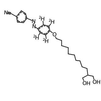 [2H]c1c([2H])c(OCCCCCCCCCCC(CO)CO)c([2H])c([2H])c1N=Nc1ccc(C#N)cc1